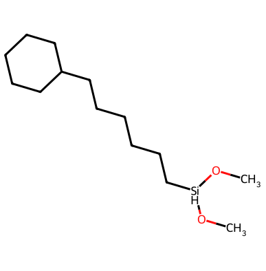 CO[SiH](CCCCCCC1CCCCC1)OC